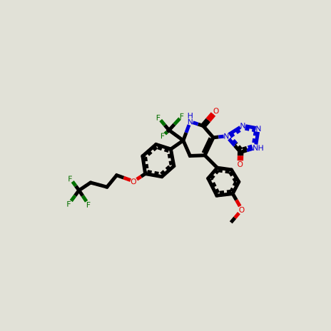 COc1ccc(C2=C(n3nn[nH]c3=O)C(=O)NC(c3ccc(OCCCC(F)(F)F)cc3)(C(F)(F)F)C2)cc1